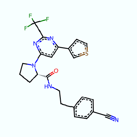 N#Cc1ccc(CCNC(=O)[C@@H]2CCCN2c2cc(-c3ccsc3)nc(C(F)(F)F)n2)cc1